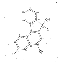 Cc1ccc2c3c(cc(O)c2c1)C(C)(O)c1ccccc1-3